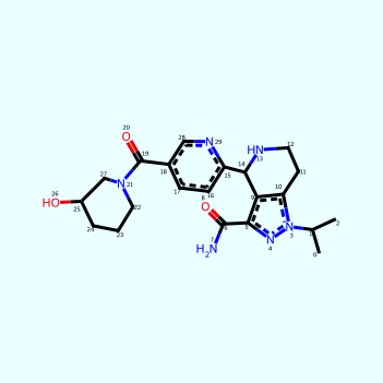 CC(C)n1nc(C(N)=O)c2c1CCNC2c1ccc(C(=O)N2CCCC(O)C2)cn1